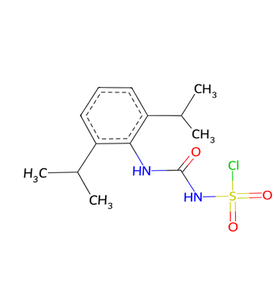 CC(C)c1cccc(C(C)C)c1NC(=O)NS(=O)(=O)Cl